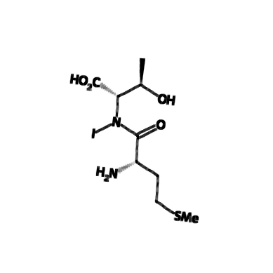 CSCC[C@H](N)C(=O)N(I)[C@H](C(=O)O)[C@@H](C)O